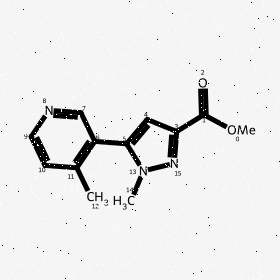 COC(=O)c1cc(-c2cnccc2C)n(C)n1